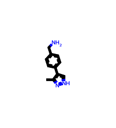 Cc1n[nH]cc1-c1ccc(CN)cc1